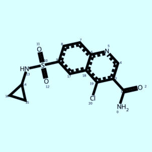 NC(=O)c1cnc2ccc(S(=O)(=O)NC3CC3)cc2c1Cl